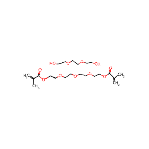 C=C(C)C(=O)OCCOCCOCCOCCOC(=O)C(=C)C.OCCOCCOCCO